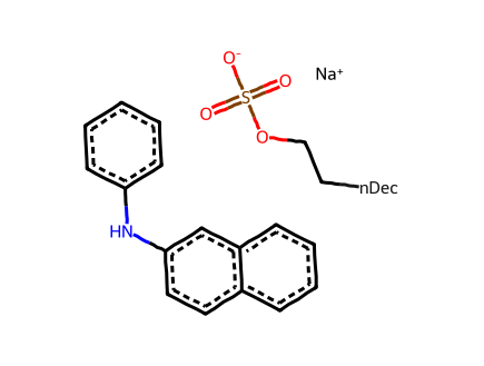 CCCCCCCCCCCCOS(=O)(=O)[O-].[Na+].c1ccc(Nc2ccc3ccccc3c2)cc1